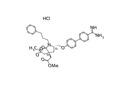 COC(=O)C[C@]1(CS(C)(=O)=O)C[C@@H](COc2ccc(-c3ccc(C(=N)N)cc3)cc2)N(CCCc2ccccc2)C1=O.Cl